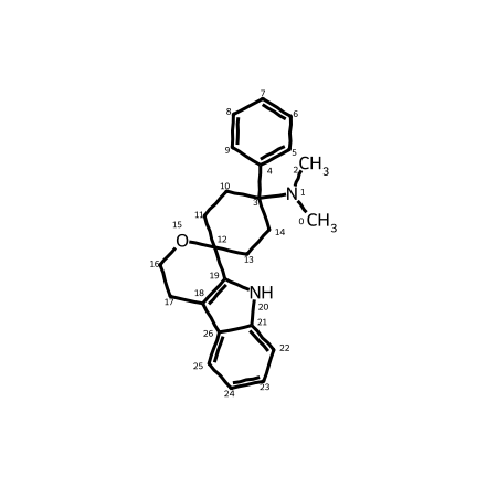 CN(C)C1(c2ccccc2)CCC2(CC1)OCCc1c2[nH]c2ccccc12